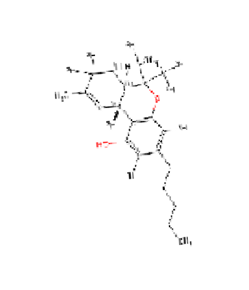 [2H]c1c(O)c2c(c([2H])c1CCCCC)OC(C([2H])([2H])[2H])(C([2H])([2H])[2H])[C@@H]1CC([2H])([2H])C(C)=C[C@@]21[2H]